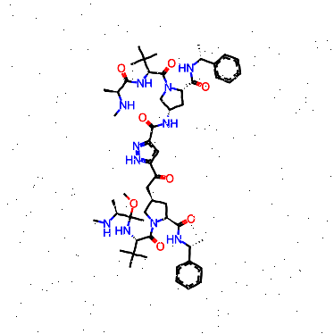 CN[C@@H](C)C(=O)N[C@H](C(=O)N1C[C@@H](NC(=O)c2cc(C(=O)C[C@H]3C[C@@H](C(=O)N[C@H](C)c4ccccc4)N(C(=O)[C@@H](NC(C)(OC)[C@H](C)NC)C(C)(C)C)C3)[nH]n2)C[C@H]1C(=O)N[C@H](C)c1ccccc1)C(C)(C)C